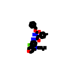 C[C@H]1CC[C@H](C(NC(=O)OCc2ccccc2)C(=O)Nc2cc(F)c3c(c2)N(C(=O)O)CC32CCOCC2)CC1